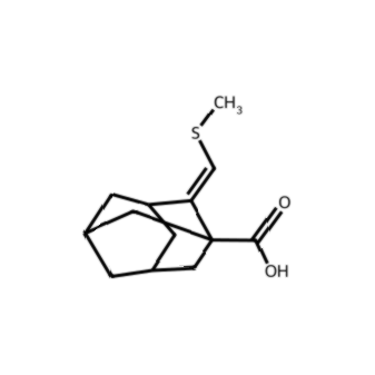 CSC=C1C2CC3CC(C2)CC1(C(=O)O)C3